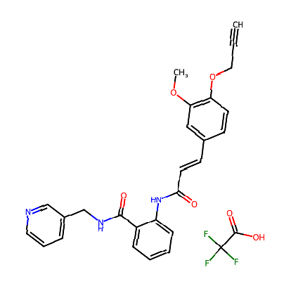 C#CCOc1ccc(/C=C/C(=O)Nc2ccccc2C(=O)NCc2cccnc2)cc1OC.O=C(O)C(F)(F)F